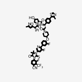 Cc1cc(C(C(=O)N2C[C@H](O)C[C@H]2C(=O)N[C@@H](CC(=O)N2CCC(Oc3ccc(-c4ncc(N5C(=S)N(c6ccc(C#N)c(C(F)(F)F)c6F)C(=O)C5(C)C)cc4F)cc3F)CC2)c2ccc(-c3scnc3C)cc2)C(C)C)on1